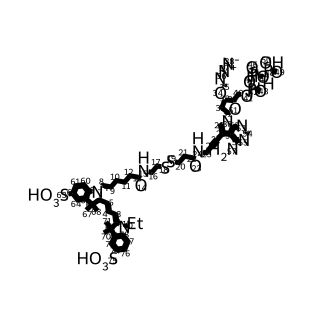 CCN1/C(=C/C=C/C2=[N+](CCCCCC(=O)NCCSSCCC(=O)NCC#Cc3cn(C4CC(OCN=[N+]=[N-])C(CO[PH](=O)O[PH](=O)O[PH](=O)O)O4)c4ncnc(N)c34)c3ccc(S(=O)(=O)O)cc3C2(C)C)C(C)(C)c2cc(S(=O)(=O)O)ccc21